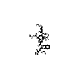 CCCCC(=O)N(C)C(CC(OC(C)=O)c1nc(C(=O)N[C@@H](Cc2ccccc2)CC(C)C(=O)O)cs1)C(C)C